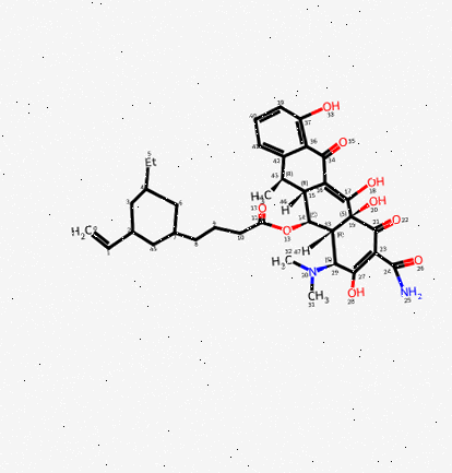 C=CC1CC(CC)CC(CCCC(=O)O[C@H]2[C@H]3C(=C(O)[C@]4(O)C(=O)C(C(N)=O)=C(O)[C@@H](N(C)C)[C@H]24)C(=O)c2c(O)cccc2[C@@H]3C)C1